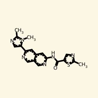 Cc1ncc(C(=O)Nc2cc3cc(-c4cnc(C)n4C)ncc3cn2)s1